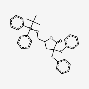 CC(C)(C)[Si](OCC1CC(Sc2ccccc2)(Sc2ccccc2)C(=O)O1)(c1ccccc1)c1ccccc1